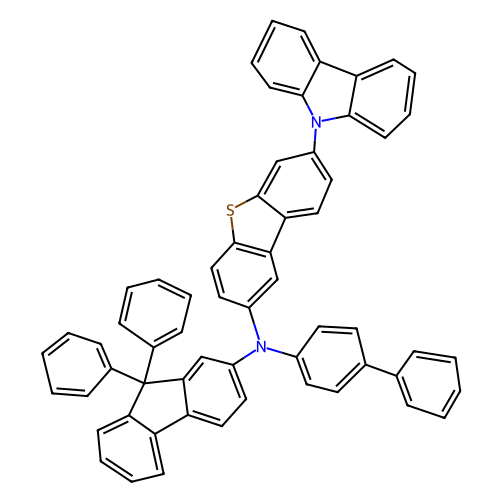 c1ccc(-c2ccc(N(c3ccc4c(c3)C(c3ccccc3)(c3ccccc3)c3ccccc3-4)c3ccc4sc5cc(-n6c7ccccc7c7ccccc76)ccc5c4c3)cc2)cc1